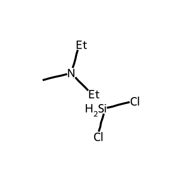 CCN(C)CC.Cl[SiH2]Cl